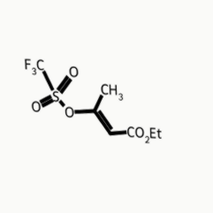 CCOC(=O)/C=C(\C)OS(=O)(=O)C(F)(F)F